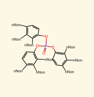 CCCCCCCCCc1ccc(OP(=O)(Oc2ccc(CCCCCCCCC)c(CCCCCCCCC)c2CCCCCCCCC)Oc2ccc(CCCCCCCCC)c(CCCCCCCCC)c2CCCCCCCCC)c(CCCCCCCCC)c1CCCCCCCCC